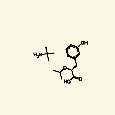 CC(C)(C)N.CC(C)O[C@@H](Cc1cccc(O)c1)C(=O)O